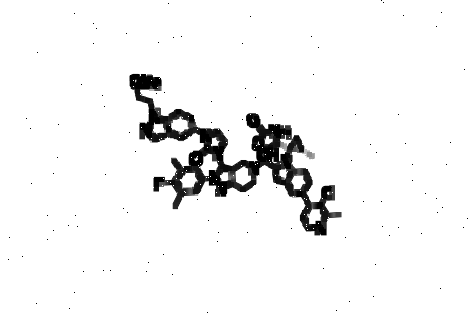 COCCn1ncc2cc(-n3ccn(-c4c5c(nn4-c4cc(C)c(F)c(C)c4)CCN(C(O)c4cc6cc(-c7ccnc(C)c7Cl)ccc6n4[C@@]4(c6noc(=O)[nH]6)C[C@@H]4C)C5)c3=O)ccc21